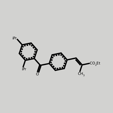 CCOC(=O)C(C)=Cc1ccc(C(=O)c2ccc(C(C)C)cc2C(C)C)cc1